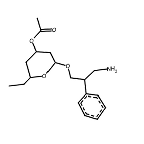 CCC1CC(OC(C)=O)CC(OCC(CN)c2ccccc2)O1